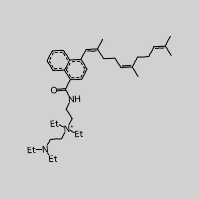 CCN(CC)CC[N+](CC)(CC)CCNC(=O)c1ccc(C=C(C)CCC=C(C)CCC=C(C)C)c2ccccc12